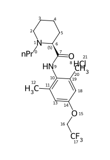 CCCN1CCCC[C@H]1C(=O)Nc1c(C)cc(OCC(F)(F)F)cc1C.Cl